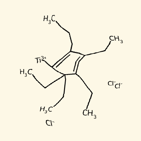 CCC1=[C]([Ti+3])C(CC)(CC)C(CC)=C1CC.[Cl-].[Cl-].[Cl-]